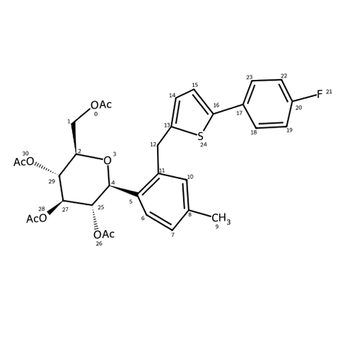 CC(=O)OC[C@H]1O[C@@H](c2ccc(C)cc2Cc2ccc(-c3ccc(F)cc3)s2)[C@H](OC(C)=O)[C@@H](OC(C)=O)[C@@H]1OC(C)=O